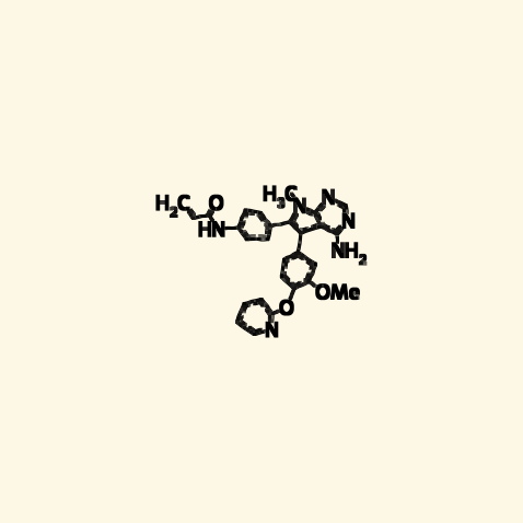 C=CC(=O)Nc1ccc(-c2c(-c3ccc(Oc4ccccn4)c(OC)c3)c3c(N)ncnc3n2C)cc1